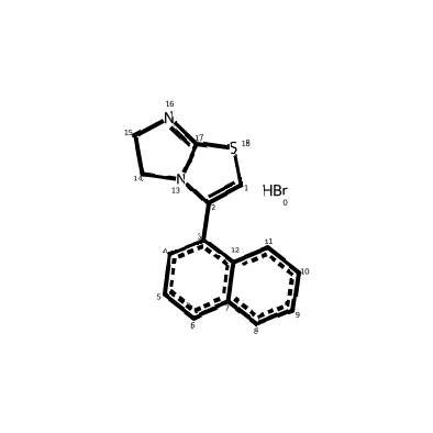 Br.C1=C(c2cccc3ccccc23)N2CCN=C2S1